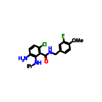 COc1ccc(CNC(=O)c2c(Cl)ccc(N)c2NC(C)C)cc1F